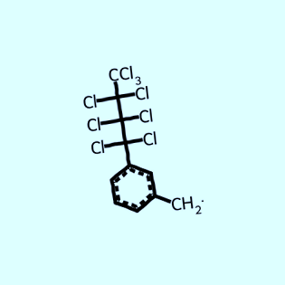 [CH2]c1cccc(C(Cl)(Cl)C(Cl)(Cl)C(Cl)(Cl)C(Cl)(Cl)Cl)c1